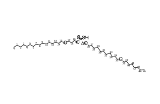 CCCCCCCCCCCCCCCCOCCCOP(=O)(O)COCCCCCCCCCCCOCCCCCCCC